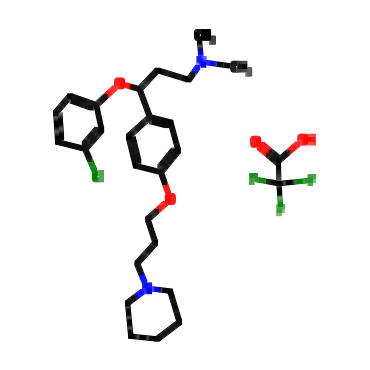 CN(C)CCC(Oc1cccc(Cl)c1)c1ccc(OCCCN2CCCCC2)cc1.O=C(O)C(F)(F)F